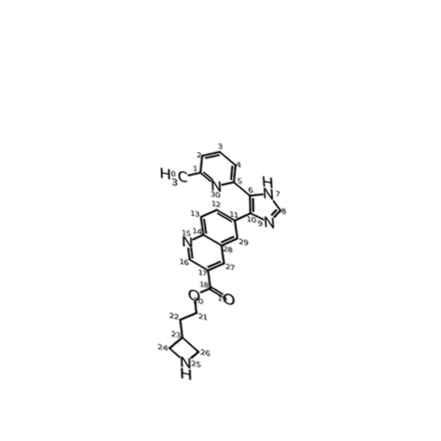 Cc1cccc(-c2[nH]cnc2-c2ccc3ncc(C(=O)OCCC4CNC4)cc3c2)n1